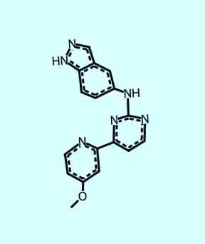 COc1ccnc(-c2ccnc(Nc3ccc4[nH]ncc4c3)n2)c1